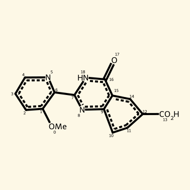 COc1cccnc1-c1nc2ccc(C(=O)O)cc2c(=O)[nH]1